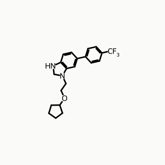 FC(F)(F)c1ccc(-c2ccc3c(c2)N(CCOC2CCCC2)CN3)cc1